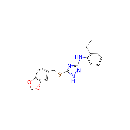 CCc1ccccc1Nc1n[nH]c(SCc2ccc3c(c2)OCO3)n1